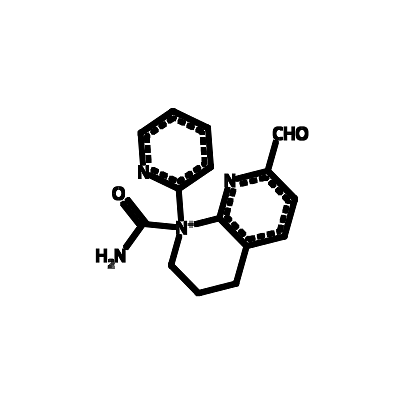 NC(=O)[N+]1(c2ccccn2)CCCc2ccc(C=O)nc21